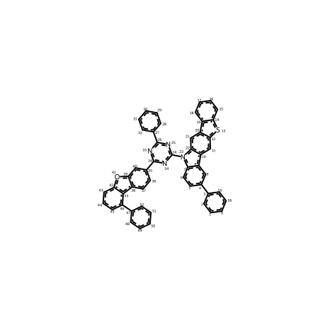 c1ccc(-c2ccc3c(c2)c2cc4sc5ccccc5c4cc2n3-c2nc(-c3ccccc3)nc(-c3ccc4c(c3)oc3cccc(-c5ccccc5)c34)n2)cc1